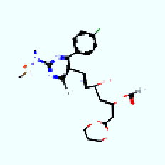 CC(C)C(=O)OC(CC(O)/C=C/c1c(-c2ccc(F)cc2)nc(N(C)S(C)(=O)=O)nc1C(C)C)CC1OCCCO1